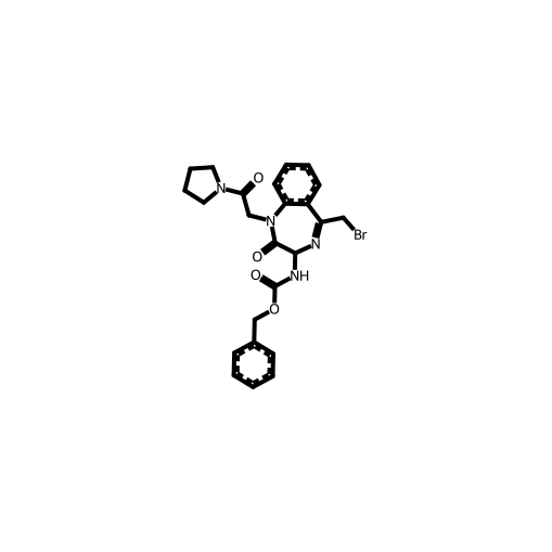 O=C(NC1N=C(CBr)c2ccccc2N(CC(=O)N2CCCC2)C1=O)OCc1ccccc1